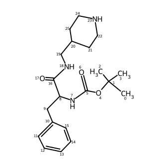 CC(C)(C)OC(=O)NC(Cc1ccccc1)C(=O)NCC1CCNCC1